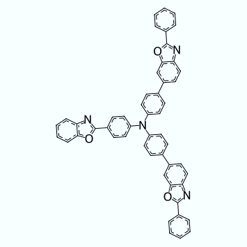 c1ccc(-c2nc3ccc(-c4ccc(N(c5ccc(-c6ccc7nc(-c8ccccc8)oc7c6)cc5)c5ccc(-c6nc7ccccc7o6)cc5)cc4)cc3o2)cc1